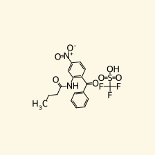 CCCC(=O)Nc1cc([N+](=O)[O-])ccc1C(=O)c1ccccc1.O=S(=O)(O)C(F)(F)F